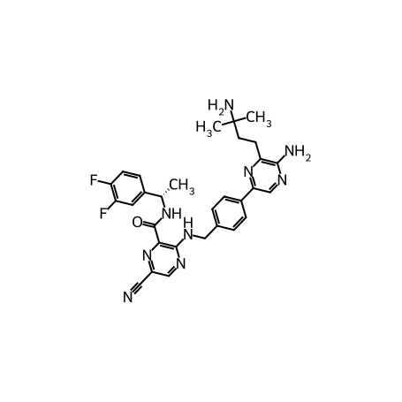 C[C@H](NC(=O)c1nc(C#N)cnc1NCc1ccc(-c2cnc(N)c(CCC(C)(C)N)n2)cc1)c1ccc(F)c(F)c1